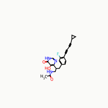 CC(=O)NCC(Cc1ccc(C#CC#CC2CC2)c(F)c1)c1nc[nH]c(=O)c1O